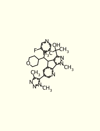 Cc1nnn(C)c1-c1cnc2c(c1)C(C(c1ccncc1F)C1CCOCC1)c1c(C(C)(C)O)nn(C)c1-2